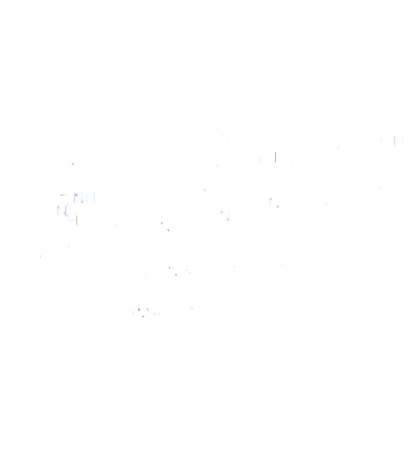 COc1cc(C(=O)N2CC3CCC2[C@@H]3N)cc2nc(-c3cc4ccc(-c5ccc(O)cc5C)nc4n3CC3CC3)n(C)c12